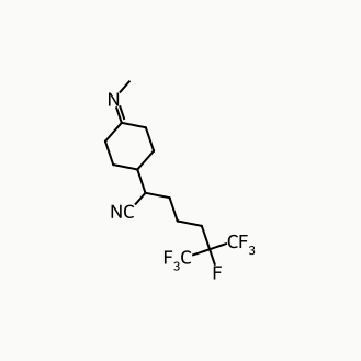 CN=C1CCC(C(C#N)CCCC(F)(C(F)(F)F)C(F)(F)F)CC1